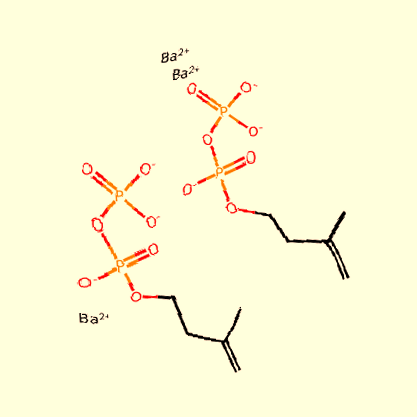 C=C(C)CCOP(=O)([O-])OP(=O)([O-])[O-].C=C(C)CCOP(=O)([O-])OP(=O)([O-])[O-].[Ba+2].[Ba+2].[Ba+2]